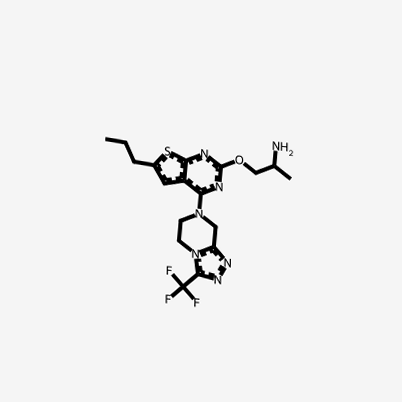 CCCc1cc2c(N3CCn4c(nnc4C(F)(F)F)C3)nc(OCC(C)N)nc2s1